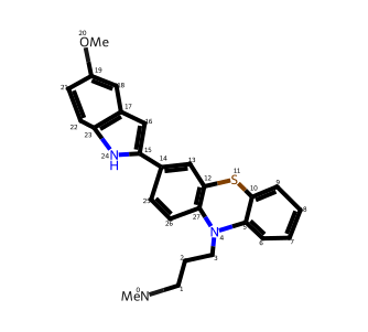 CNCCCN1c2ccccc2Sc2cc(-c3cc4cc(OC)ccc4[nH]3)ccc21